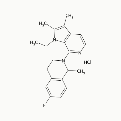 CCn1c(C)c(C)c2ccnc(N3CCc4cc(F)ccc4C3C)c21.Cl